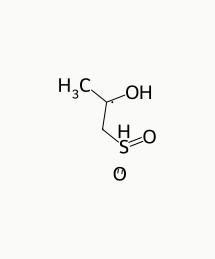 C[C](O)C[SH](=O)=O